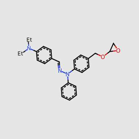 CCN(CC)c1ccc(C=NN(c2ccccc2)c2ccc(COC3CO3)cc2)cc1